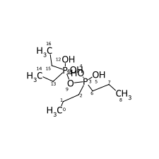 CCCP(O)(O)(CCC)OP(O)(O)(CC)CC